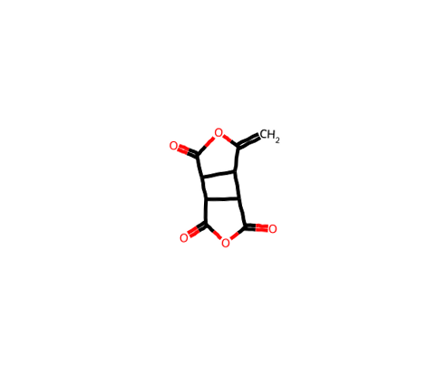 C=C1OC(=O)C2C1C1C(=O)OC(=O)C21